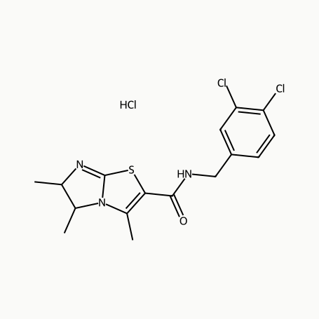 CC1=C(C(=O)NCc2ccc(Cl)c(Cl)c2)SC2=NC(C)C(C)N21.Cl